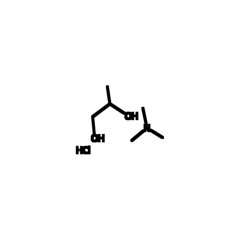 CC(O)CO.CN(C)C.Cl